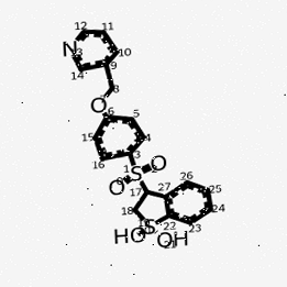 O=S(=O)(c1ccc(OCc2cccnc2)cc1)C1CS(O)(O)c2ccccc21